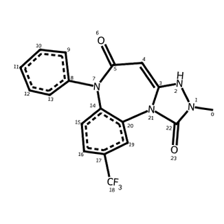 CN1NC2=CC(=O)N(c3ccccc3)c3ccc(C(F)(F)F)cc3N2C1=O